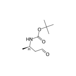 C[C@H](CC=O)NC(=O)OC(C)(C)C